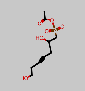 CC(=O)OS(=O)(=O)CC(O)CC#CCCO